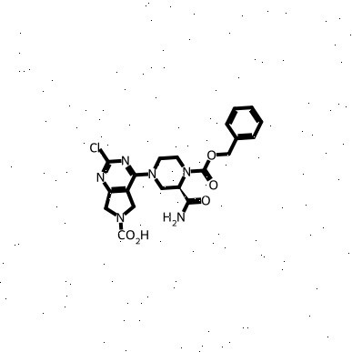 NC(=O)[C@H]1CN(c2nc(Cl)nc3c2CN(C(=O)O)C3)CCN1C(=O)OCc1ccccc1